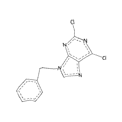 Clc1nc(Cl)c2ncn(Cc3ccccc3)c2n1